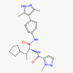 Cc1n[nH]c(C)c1-c1ccc(NC(=O)[C@@H](NC(=O)c2ccnn2C)C(C)C2CCCC2)cc1